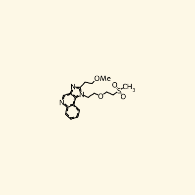 COCCc1nc2cnc3ccccc3c2n1CCOCCS(C)(=O)=O